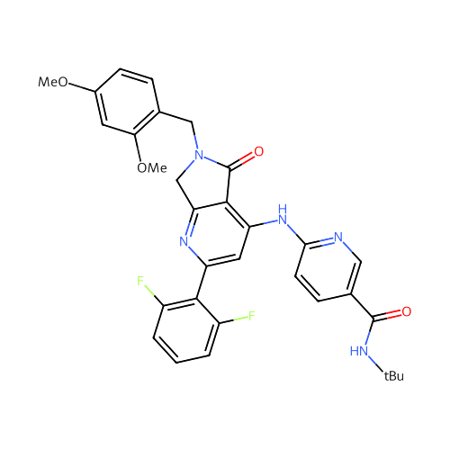 COc1ccc(CN2Cc3nc(-c4c(F)cccc4F)cc(Nc4ccc(C(=O)NC(C)(C)C)cn4)c3C2=O)c(OC)c1